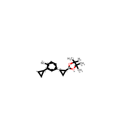 CC1(C)OB(C2C[C@@H]2c2ccc(C#N)c(C3CC3)c2)OC1(C)C